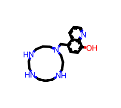 Oc1ccc(CN2CCCNCCCNCCNCCC2)c2cccnc12